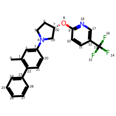 Cc1cc(N2CC[C@H](Oc3ccc(C(F)(F)F)cn3)C2)ccc1-c1ccccc1